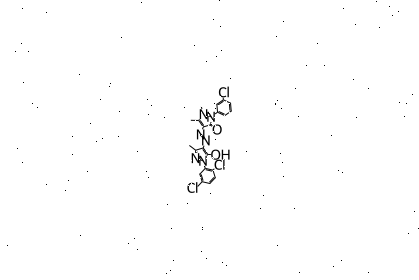 Cc1nn(-c2cc(Cl)ccc2Cl)c(O)c1/N=N/c1c(C)n(C)n(-c2cccc(Cl)c2)c1=O